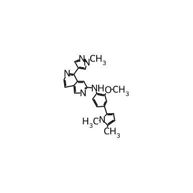 COc1cc(-c2ccc(C)n2C)ccc1Nc1cc2c(-c3cnn(C)c3)nccc2cn1